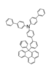 c1ccc(C2(c3cccc(-c4ccc(N(c5ccc(-c6ccccc6)cc5)c5ccc(-c6ccccc6)cc5)cc4)c3)c3ccccc3-c3cccc4cccc2c34)cc#1